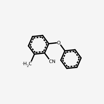 [CH2]c1cccc(Oc2ccccc2)c1C#N